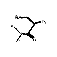 CCCC(CC(C)(C)C)C(=O)N(CC)CC